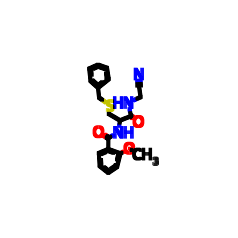 COc1ccccc1C(=O)NC(CSCc1ccccc1)C(=O)NCC#N